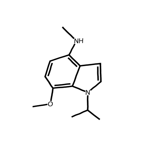 CNc1ccc(OC)c2c1ccn2C(C)C